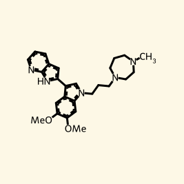 COc1cc2c(-c3cc4cccnc4[nH]3)cn(CCCN3CCCN(C)CC3)c2cc1OC